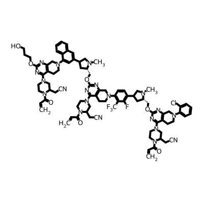 C=CC(=O)N1CCN(c2nc(OC[C@@H]3CC(c4ccc(N5CCc6c(nc(OC[C@@H]7CC(c8cc(N9CCc%10c(nc(OCCCO)nc%10N%10CCN(C(=O)C=C)C(CC#N)C%10)C9)c9ccccc9c8)CN7C)nc6N6CCN(C(=O)C=C)C(CC#N)C6)C5)c(C(F)(F)F)c4F)CN3C)nc3c2CCN(c2ccccc2Cl)C3)CC1CC#N